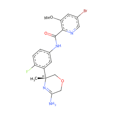 COc1cc(Br)cnc1C(=O)Nc1ccc(F)c([C@]2(C)COCC(N)=N2)c1